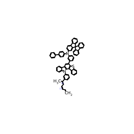 C=C/C=C\C=C(/C)c1cccc(-n2c3ccccc3c3cc(-c4cccc(N(c5ccc(-c6ccccc6)cc5)c5ccc6c(c5)C5(c7ccccc7-c7ccccc75)c5ccccc5-6)c4)c4sc5ccccc5c4c32)c1